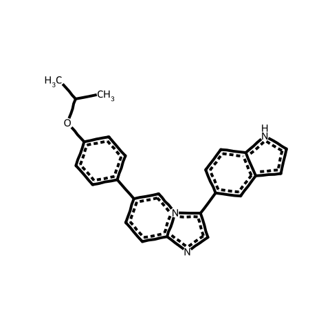 CC(C)Oc1ccc(-c2ccc3ncc(-c4ccc5[nH]ccc5c4)n3c2)cc1